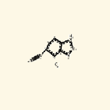 N#[N+]c1ccc2[nH]nnc2c1.[Cl-]